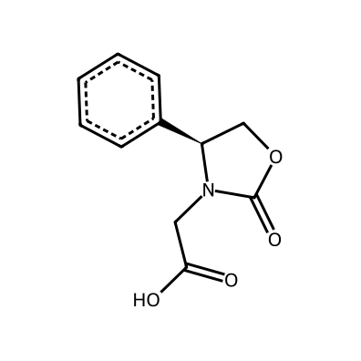 O=C(O)CN1C(=O)OC[C@@H]1c1ccccc1